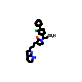 O=C(O)CC(c1ccc(-c2ccccc2)c(F)c1)N1CCC(CCCC2C=CC3=CCCNC3=N2)C1=O